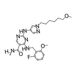 COCCCCCCn1cc(Nc2ncc(C(N)=O)c(NCc3c(F)cccc3OC)n2)cn1